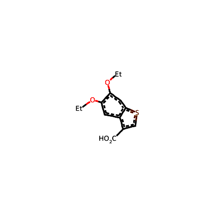 CCOc1cc2scc(C(=O)O)c2cc1OCC